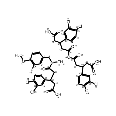 COc1ccc(CN(C)C(=O)CC(CC(=O)O)c2ccc(Cl)c(Cl)c2)cc1F.O=C(O)CC(CC(=O)OC(=O)CC(CC(=O)O)c1ccc(Cl)c(Cl)c1)c1ccc(Cl)c(Cl)c1